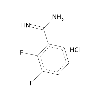 Cl.N=C(N)c1cccc(F)c1F